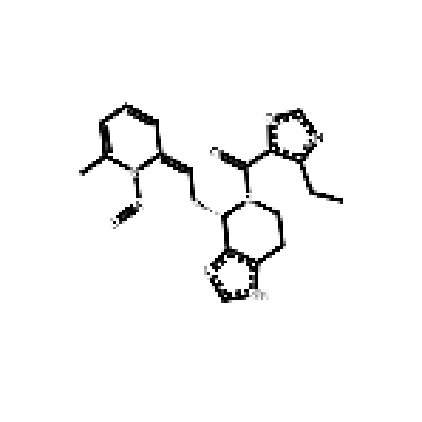 CCc1ncoc1C(=O)N1CCc2[nH]cnc2[C@@H]1C/C=C1/C=CC=C(C)N1N=S